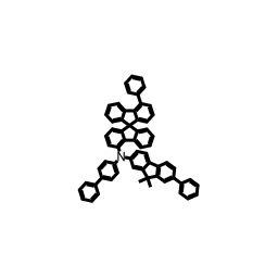 CC1(C)c2cc(-c3ccccc3)ccc2-c2ccc(N(c3ccc(-c4ccccc4)cc3)c3cccc4c3-c3ccccc3C43c4ccccc4-c4c(-c5ccccc5)cccc43)cc21